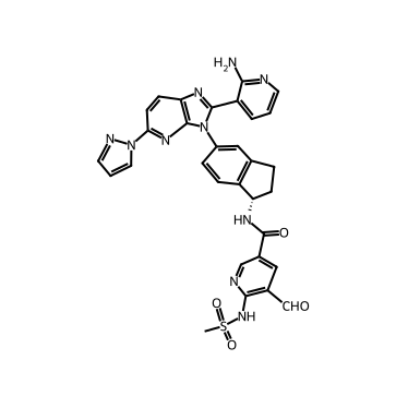 CS(=O)(=O)Nc1ncc(C(=O)N[C@H]2CCc3cc(-n4c(-c5cccnc5N)nc5ccc(-n6cccn6)nc54)ccc32)cc1C=O